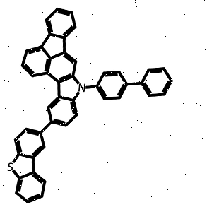 c1ccc(-c2ccc(-n3c4ccc(-c5ccc6sc7ccccc7c6c5)cc4c4c5cccc6c5c(cc43)-c3ccccc3-6)cc2)cc1